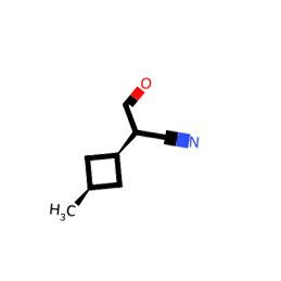 C[C@H]1C[C@@H](C(C#N)C=O)C1